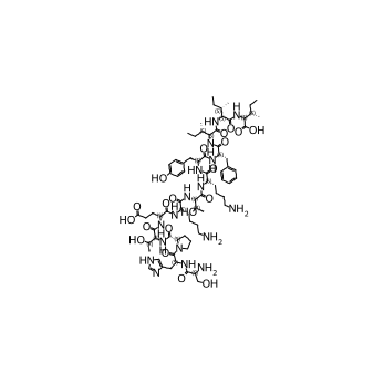 CC[C@H](C)[C@H](NC(=O)[C@@H](NC(=O)[C@@H](NC(=O)[C@H](Cc1ccccc1)NC(=O)[C@H](Cc1ccc(O)cc1)NC(=O)[C@H](CCCCN)NC(=O)[C@@H](NC(=O)[C@H](CCCCN)NC(=O)[C@H](CCC(=O)O)NC(=O)[C@@H](NC(=O)[C@@H]1CCCN1C(=O)[C@H](Cc1c[nH]cn1)NC(=O)[C@@H](N)CO)[C@@H](C)O)[C@@H](C)O)[C@@H](C)CC)[C@@H](C)CC)C(=O)O